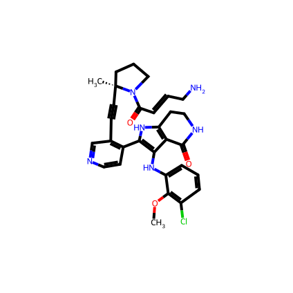 COc1c(Cl)cccc1Nc1c(-c2ccncc2C#C[C@@]2(C)CCCN2C(=O)/C=C/CN)[nH]c2c1C(=O)NCC2